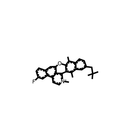 Cc1c2c(c(C)c3cc(CC(C)(C)C)ccc13)-c1c3c(cc4ccc(F)cc4c3cc[n+]1C)O2